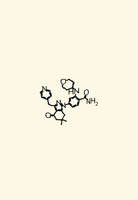 CC1(C)CC(=O)c2c(Cc3ccncc3)nn(-c3ccc(C(N)=O)c(NC4CCOCC4)c3)c2C1